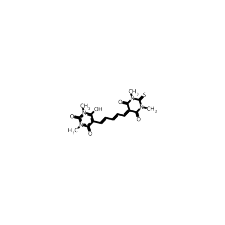 CN1C(=O)C(=CC=CC=Cc2c(O)n(C)c(=O)n(C)c2=O)C(=O)N(C)C1=S